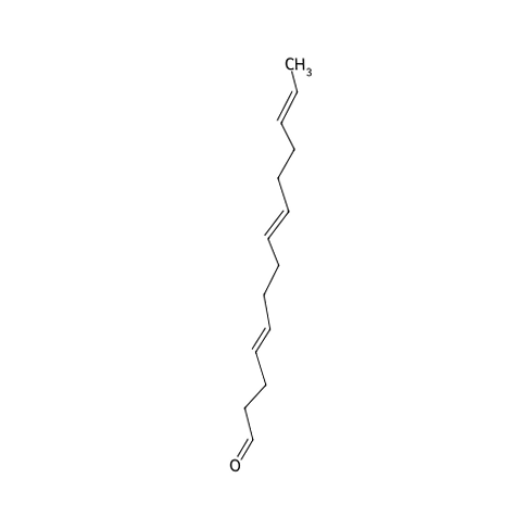 CC=CCCC=CCCC=CCCC=O